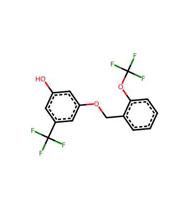 Oc1cc(OCc2ccccc2OC(F)(F)F)cc(C(F)(F)F)c1